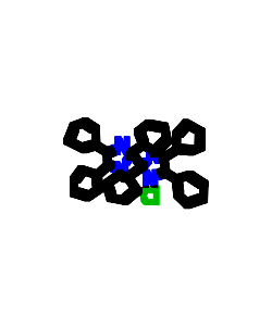 Clc1ccccc1C1(C2(c3ccccc3)N=C(c3ccccc3)C(c3ccccc3)=N2)N=C(c2ccccc2)C(c2ccccc2)=N1